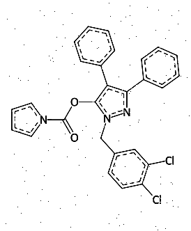 O=C(Oc1c(-c2ccccc2)c(-c2ccccc2)nn1Cc1ccc(Cl)c(Cl)c1)n1cccc1